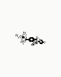 CC(C)(C)OC(=O)c1ccc(C(=O)Nc2ccc(Cl)cn2)c([N+](=O)[O-])c1